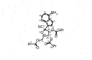 CC(C)C(=O)OC[C@H]1O[C@@](C#N)(c2ccc3c(N)ccnn23)[C@H](OC(=O)C(C)C)[C@@H]1OC(=O)C(C)C